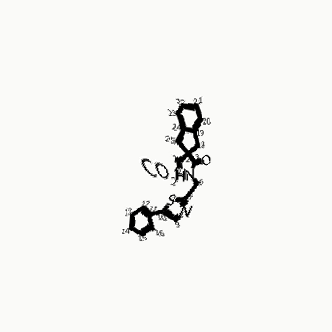 O=C(O)CC1(C(=O)NCc2ncc(-c3ccccc3)s2)Cc2ccccc2C1